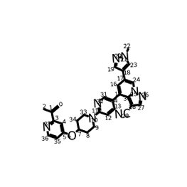 C=C(C)c1cc(OC2CCN(c3ccc(-c4cc(-c5cnn(C)c5)cn5ncc(C#N)c45)cn3)CC2)ccn1